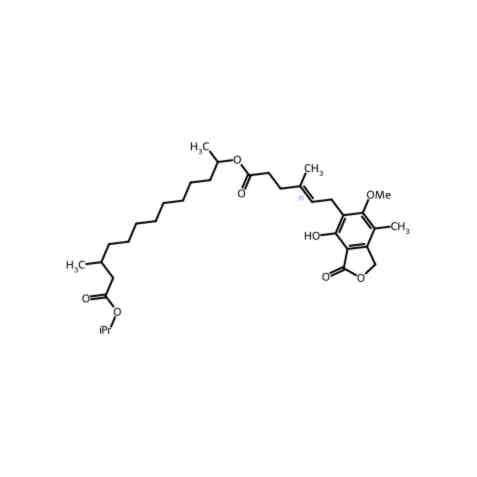 [CH2]C([CH2])OC(=O)CC(C)CCCCCCCCC(C)OC(=O)CC/C(C)=C/Cc1c(O)c2c(c(C)c1OC)COC2=O